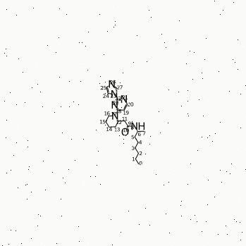 CCCCCCC(C)NC(=O)CC1CCCCN1c1ccnc(-n2ccnc2)n1